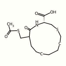 CC(=O)SCC1CCCCCCCSC[C@@H](C(=O)O)NC1=O